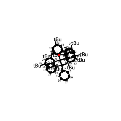 CC(C)(C)c1cc(C(C)(C)C)c(CC(c2cc[c]cc2)(c2cc[c]cc2)C(c2c(C(C)(C)C)cc(C(C)(C)C)cc2C(C)(C)C)(c2c(C(C)(C)C)cc(C(C)(C)C)cc2C(C)(C)C)c2c(C(C)(C)C)cc(C(C)(C)C)cc2C(C)(C)C)c(C(C)(C)C)c1